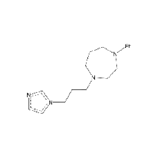 CCN1CCCN(CCCn2ccnc2)CC1